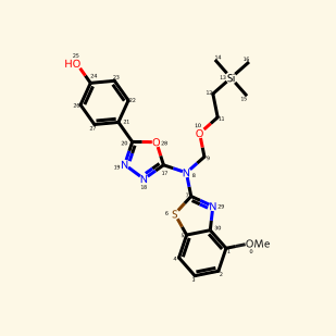 COc1cccc2sc(N(COCC[Si](C)(C)C)c3nnc(-c4ccc(O)cc4)o3)nc12